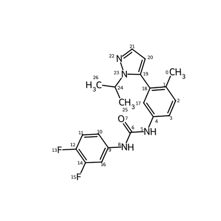 Cc1ccc(NC(=O)Nc2ccc(F)c(F)c2)cc1-c1ccnn1C(C)C